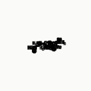 COC(=O)c1c(CCCOS(C)(=O)=O)c2ccc(Cl)c(-c3c(COC4CCCCO4)nn(C)c3CSCc3cc(CCc4cc(O)c5ccccc5c4)n(C)n3)c2n1C